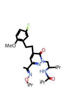 COc1ccc(F)cc1CCc1cc(C(C)=NOC(C)C)nn(CC(NC(=O)C(C)C)C(C)C)c1=O